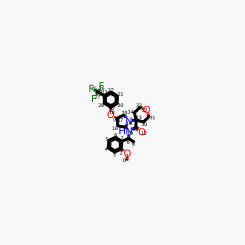 COc1ccccc1C(C)NC(=O)C1(N2CC[C@@H](Oc3cccc(C(F)(F)F)c3)C2)CCOCC1